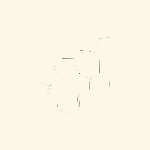 CCC1CN(CC)C(=O)c2ccc(C(=O)O)cc2N1Cc1ccccc1